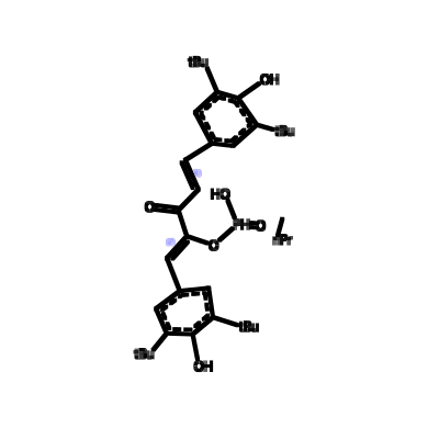 CC(C)(C)c1cc(/C=C(\O[PH](=O)O)C(=O)/C=C/c2cc(C(C)(C)C)c(O)c(C(C)(C)C)c2)cc(C(C)(C)C)c1O.CCCC